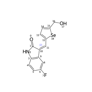 O=C1Nc2ccc(F)cc2/C1=C/c1ccc(CO)[se]1